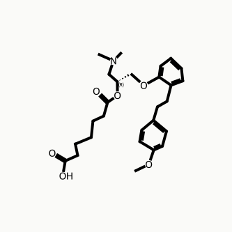 COc1ccc(CCc2ccccc2OC[C@@H](CN(C)C)OC(=O)CCCCCC(=O)O)cc1